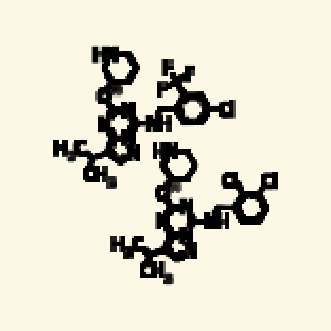 CC(C)c1cnn2c(NCc3ccc(Cl)cc3C(F)(F)F)nc(O[C@@H]3CCCNC3)nc12.CC(C)c1cnn2c(NCc3cccc(Cl)c3Cl)nc(O[C@@H]3CCCNC3)nc12